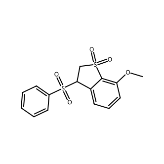 COc1cccc2c1S(=O)(=O)CC2S(=O)(=O)c1ccccc1